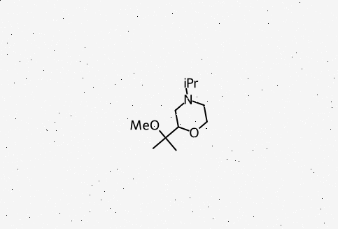 COC(C)(C)C1CN(C(C)C)CCO1